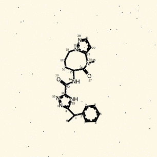 CC(c1ccccc1)c1nnc(C(=O)NC2CCCn3nccc3N(C)C2=O)[nH]1